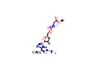 CNc1nc(N)nc2c1ncn2C1OC(COPNCC(=O)OC(C)C)CC1C